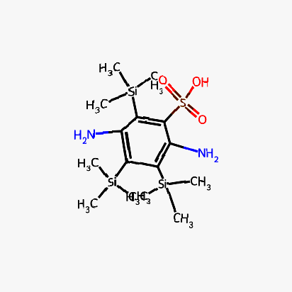 C[Si](C)(C)c1c(N)c([Si](C)(C)C)c(S(=O)(=O)O)c(N)c1[Si](C)(C)C